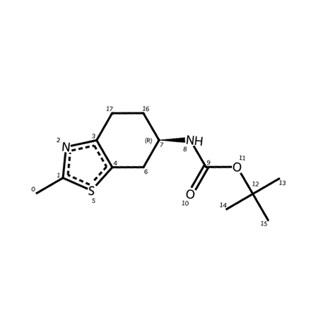 Cc1nc2c(s1)C[C@H](NC(=O)OC(C)(C)C)CC2